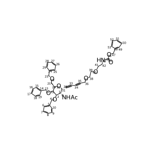 CC(=O)N[C@@H]1[C@@H](OCc2ccccc2)[C@@H](OCc2ccccc2)[C@@H](COCc2ccccc2)O[C@@H]1C#CC#CCOCCOCCNC(=O)OCc1ccccc1